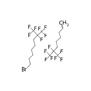 C=CCCCCC(F)(C(F)(F)F)C(F)(F)F.FC(F)(F)C(F)(CCCCCCBr)C(F)(F)F